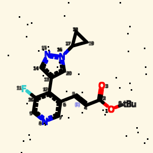 CC(C)(C)OC(=O)/C=C/c1cncc(F)c1-c1cnn(C2CC2)c1